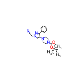 CC(C)(C)OC(=O)N1CCN(c2cn(CC#N)nc2-c2ccccc2)CC1